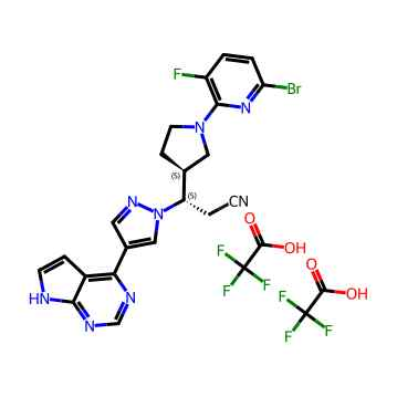 N#CC[C@@H]([C@H]1CCN(c2nc(Br)ccc2F)C1)n1cc(-c2ncnc3[nH]ccc23)cn1.O=C(O)C(F)(F)F.O=C(O)C(F)(F)F